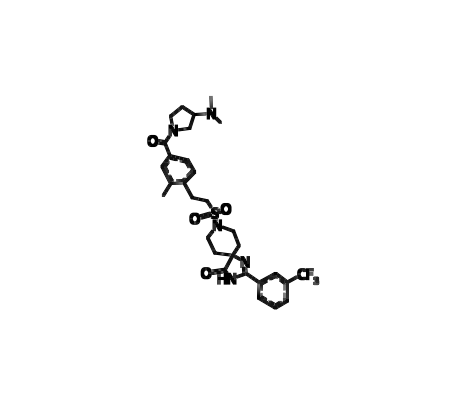 Cc1cc(C(=O)N2CCC(N(C)C)C2)ccc1CCS(=O)(=O)N1CCC2(CC1)N=C(c1cccc(C(F)(F)F)c1)NC2=O